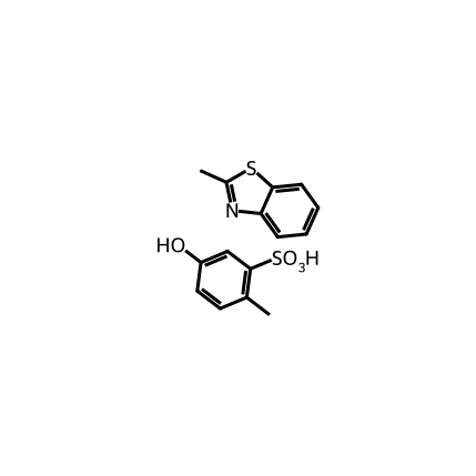 Cc1ccc(O)cc1S(=O)(=O)O.Cc1nc2ccccc2s1